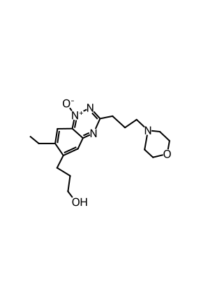 CCc1cc2c(cc1CCCO)nc(CCCN1CCOCC1)n[n+]2[O-]